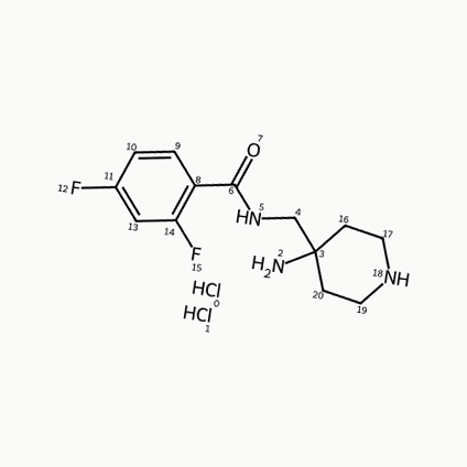 Cl.Cl.NC1(CNC(=O)c2ccc(F)cc2F)CCNCC1